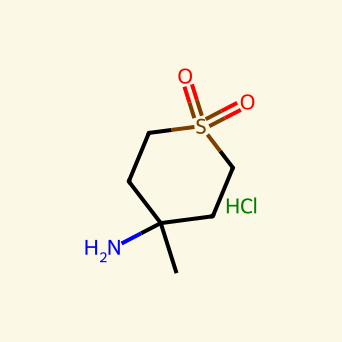 CC1(N)CCS(=O)(=O)CC1.Cl